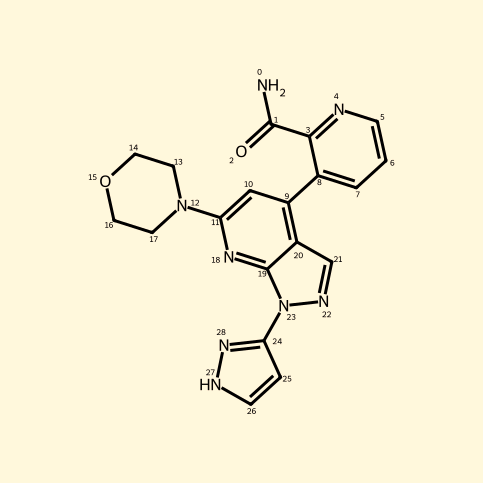 NC(=O)c1ncccc1-c1cc(N2CCOCC2)nc2c1cnn2-c1cc[nH]n1